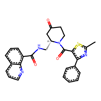 Cc1nc(-c2ccccc2)c(C(=O)N2CCC(=O)C[C@H]2CNC(=O)c2cccc3cccnc23)s1